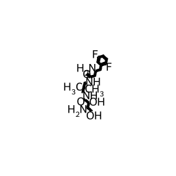 CC(C)(CNC(=O)CC(N)Cc1cc(F)ccc1F)CNC(=O)C(O)C(N)CO